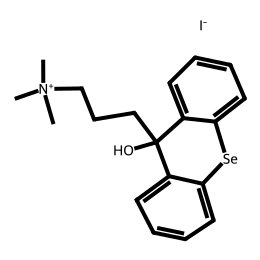 C[N+](C)(C)CCCC1(O)c2ccccc2[Se]c2ccccc21.[I-]